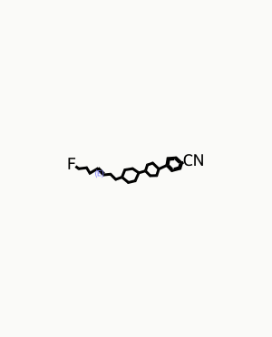 N#Cc1ccc(C2CCC(C3CCC(CC/C=C/CCCF)CC3)CC2)cc1